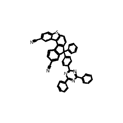 N#Cc1ccc2c(c1)C(c1ccccc1)(c1ccc(-c3nc(-c4ccccc4)nc(-c4ccccc4)n3)cc1)c1ccc3sc4ccc(C#N)cc4c3c1-2